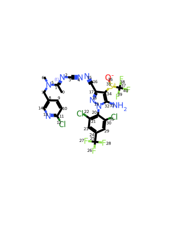 C/C(=N\C#N)N(C)Cc1ccc(Cl)nc1.N#Cc1nn(-c2c(Cl)cc(C(F)(F)F)cc2Cl)c(N)c1[S+]([O-])C(F)(F)F